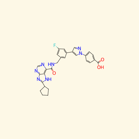 O=C(O)c1ccc(-n2cc(-c3cc(F)cc(CNC(=O)c4ncnc5nc(C6CCCC6)[nH]c45)c3)cn2)cc1